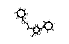 Cc1oc(-c2ccccc2)nc1CCOc1ccccc1